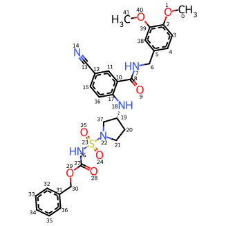 COc1ccc(CNC(=O)c2cc(C#N)ccc2N[C@@H]2CCN(S(=O)(=O)NC(=O)OCc3ccccc3)C2)cc1OC